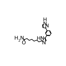 NC(=O)CCCCCCc1ncc(-c2cccc(-c3cc[nH]n3)c2)[nH]1